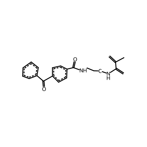 C=C(C)C(=C)NCCCNC(=O)c1ccc(C(=O)c2ccccc2)cc1